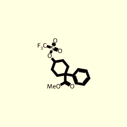 COC(=O)C1(c2ccccc2)CCC(OS(=O)(=O)C(F)(F)F)CC1